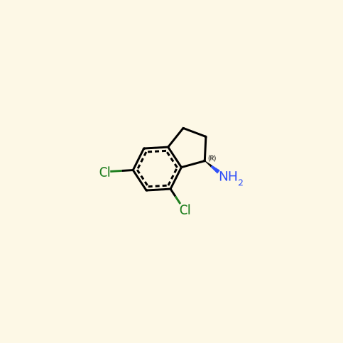 N[C@@H]1CCc2cc(Cl)cc(Cl)c21